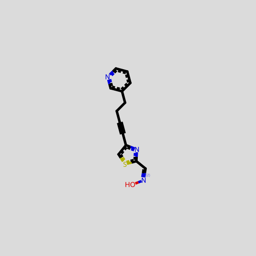 O/N=C\c1nc(C#CCCc2cccnc2)cs1